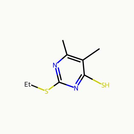 CCSc1nc(C)c(C)c(S)n1